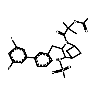 CC(=O)OC(C)(C)C(=O)N1C2CC(C2)C(NS(C)(=O)=O)C1Cc1cccc(-c2cc(F)cc(F)c2)c1